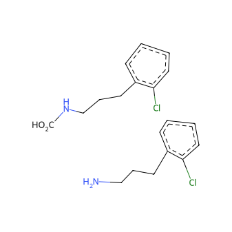 NCCCc1ccccc1Cl.O=C(O)NCCCc1ccccc1Cl